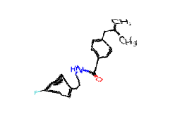 CC(C)Cc1ccc(C(=O)NCc2ccc(F)cc2)cc1